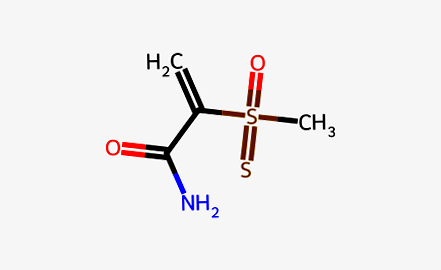 C=C(C(N)=O)S(C)(=O)=S